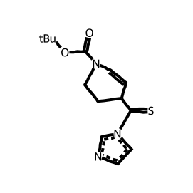 CC(C)(C)OC(=O)N1C=CC(C(=S)n2ccnc2)CC1